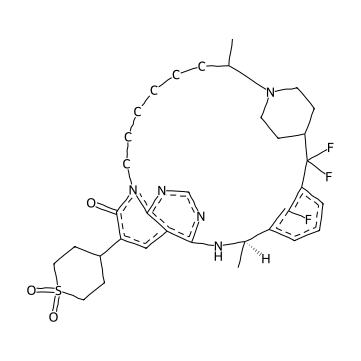 CC1CCCCCCn2c(=O)c(C3CCS(=O)(=O)CC3)cc3c(ncnc32)N[C@H](C)c2cccc(c2F)C(F)(F)C2CCN1CC2